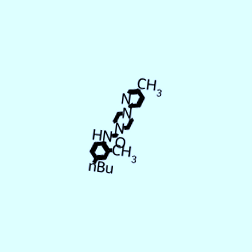 CCCCc1ccc(NC(=O)N2CCN(c3ccc(C)cn3)CC2)c(C)c1